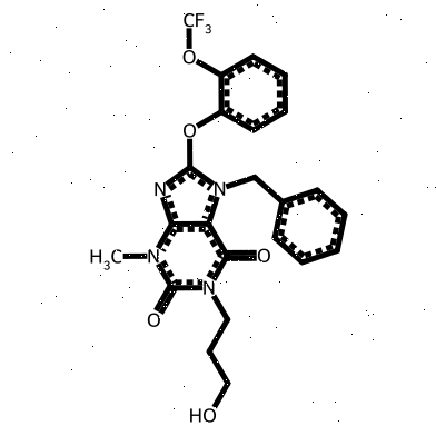 Cn1c(=O)n(CCCO)c(=O)c2c1nc(Oc1ccccc1OC(F)(F)F)n2Cc1ccccc1